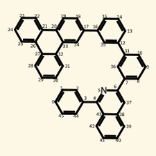 c1ccc(-c2nc(-c3cccc(-c4cccc(-c5ccc6c7ccccc7c7ccccc7c6c5)c4)c3)cc3ccccc23)cc1